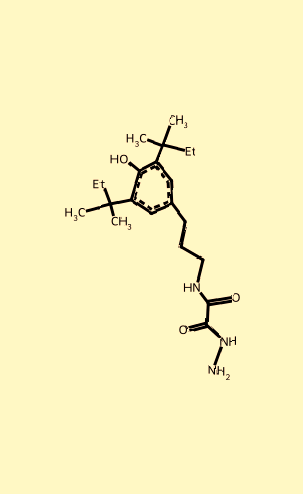 CCC(C)(C)c1cc(CCCNC(=O)C(=O)NN)cc(C(C)(C)CC)c1O